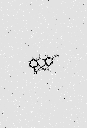 CCCc1ccc2c(c1)Nc1cccc(Cl)c1C2(C)C